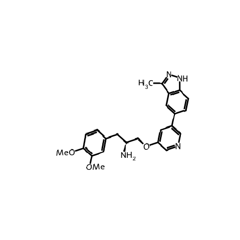 COc1ccc(C[C@H](N)COc2cncc(-c3ccc4[nH]nc(C)c4c3)c2)cc1OC